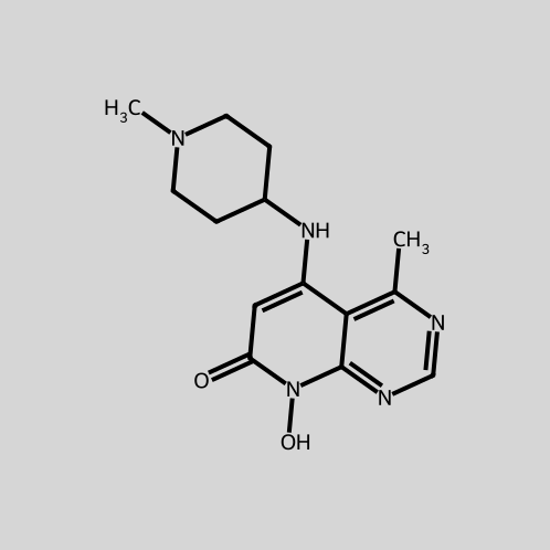 Cc1ncnc2c1c(NC1CCN(C)CC1)cc(=O)n2O